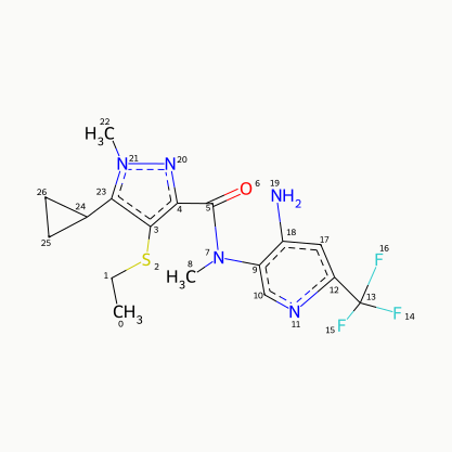 CCSc1c(C(=O)N(C)c2cnc(C(F)(F)F)cc2N)nn(C)c1C1CC1